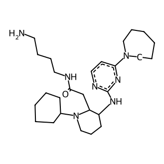 NCCCCNC(=O)CC1C(Nc2nccc(N3CCCCCC3)n2)CCCN1C1CCCCC1